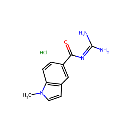 Cl.Cn1ccc2cc(C(=O)N=C(N)N)ccc21